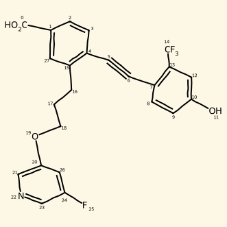 O=C(O)c1ccc(C#Cc2ccc(O)cc2C(F)(F)F)c(CCCOc2cncc(F)c2)c1